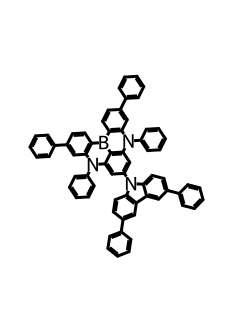 c1ccc(-c2ccc3c(c2)N(c2ccccc2)c2cc(-n4c5ccc(-c6ccccc6)cc5c5cc(-c6ccccc6)ccc54)cc4c2B3c2ccc(-c3ccccc3)cc2N4c2ccccc2)cc1